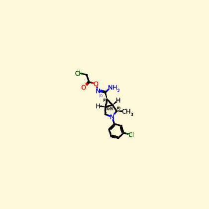 C[C@@H]1[C@@H]2[C@H](CN1c1cccc(Cl)c1)[C@H]2/C(N)=N/OC(=O)CCl